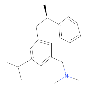 CC(C)c1cc(C[C@@H](C)c2ccccc2)cc(CN(C)C)c1